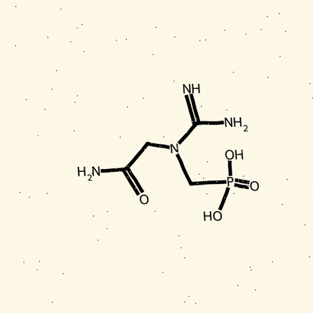 N=C(N)N(CC(N)=O)CP(=O)(O)O